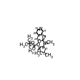 CC(C)C[C@@H](C(=O)OC(=O)OC(C)(C)C)N(C)C(=O)OCc1ccncc1